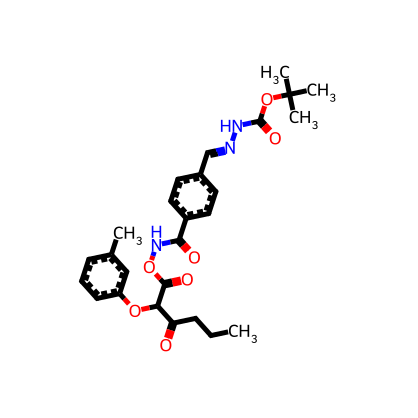 CCCC(=O)C(Oc1cccc(C)c1)C(=O)ONC(=O)c1ccc(C=NNC(=O)OC(C)(C)C)cc1